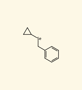 c1ccc(C[Se]C2CC2)cc1